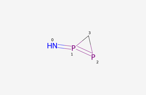 N=P1=PC1